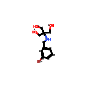 OCC(CO)(CO)NCc1cccc(Br)c1